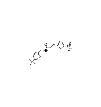 CC(C)(C)c1ccc(CNC(=O)CCc2ccc([N+](=O)[O-])cc2)cc1